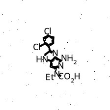 CCN(C(=O)O)c1cc2c(c(N)n1)N=C(c1ccc(Cl)cc1Cl)CN2